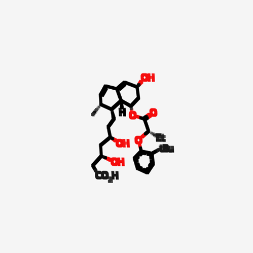 CC[C@H](Oc1ccccc1C(C)(C)C)C(=O)O[C@H]1C[C@H](O)C=C2C=C[C@@H](C)[C@H](CC[C@@H](O)C[C@@H](O)CC(=O)O)[C@H]21